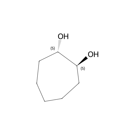 O[C@H]1CCCCC[C@@H]1O